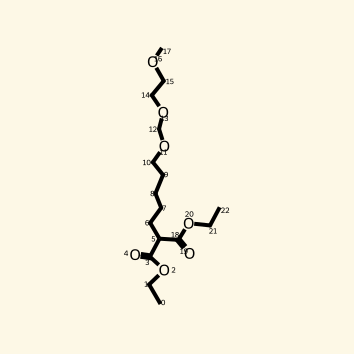 CCOC(=O)C(CCCCCOCOCCOC)C(=O)OCC